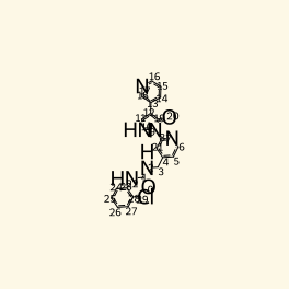 O=C(NCc1ccnc(-n2[nH]cc(-c3cccnc3)c2=O)c1)Nc1ccccc1Cl